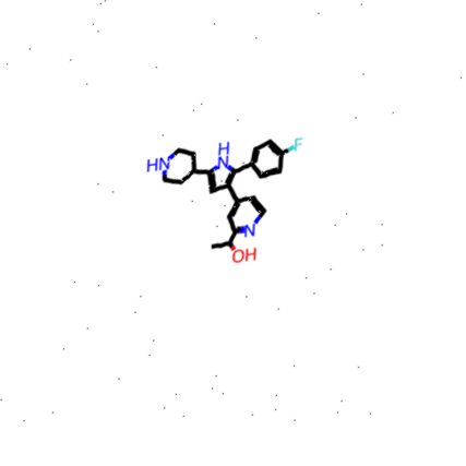 CC(O)c1cc(-c2cc(C3CCNCC3)[nH]c2-c2ccc(F)cc2)ccn1